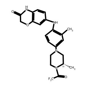 Cc1cc(N2CCN(C(=O)C(F)(F)F)[C@@H](C)C2)ccc1Nc1ccc2c(c1)OCC(=O)N2